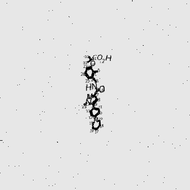 Cc1c(CNC(=O)c2cc(-c3ccc(N4CCCCC4)cc3)n(C)n2)cccc1OC(C)(C)C(=O)O